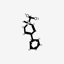 C[N+]1(C(=O)[O-])C=CC(c2ccccc2)=CC1